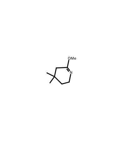 COC1=NCCC(C)(C)C1